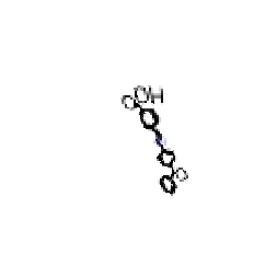 O=C(O)c1ccc(/C=C/c2ccc(C(=O)c3ccccc3)cc2)cc1